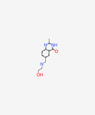 Cc1nc2ccc(C[N]CCO)cc2c(=O)[nH]1